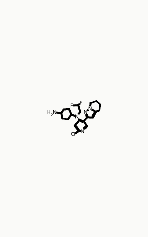 NC1CCC(N(CC(F)F)c2cc(Cl)ncc2-c2cc3n(n2)CCCC3)CC1